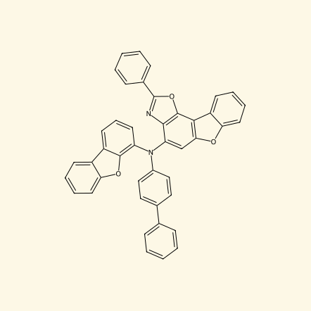 c1ccc(-c2ccc(N(c3cc4oc5ccccc5c4c4oc(-c5ccccc5)nc34)c3cccc4c3oc3ccccc34)cc2)cc1